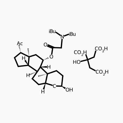 CCC(C)N(CC(=O)O[C@H]1C[C@]2(C)[C@@H](C(C)=O)CC[C@H]2[C@@H]2CC[C@H]3C[C@H](O)CC[C@]3(C)[C@H]21)C(C)CC.O=C(O)CC(O)(CC(=O)O)C(=O)O